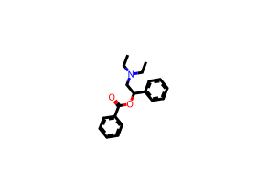 CCN(CC)CC(OC(=O)c1ccccc1)c1ccccc1